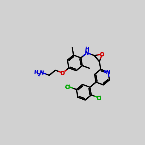 Cc1cc(OCCN)cc(C)c1NC1OC1c1cc(-c2cc(Cl)ccc2Cl)ccn1